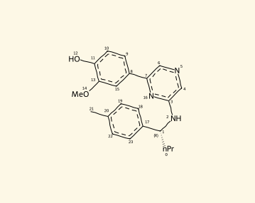 CCC[C@@H](Nc1cncc(-c2ccc(O)c(OC)c2)n1)c1ccc(C)cc1